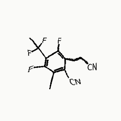 Cc1c(F)c(C(C)(F)F)c(F)c(CC#N)c1C#N